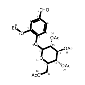 CCOc1cc(C=O)ccc1OC1O[C@H](COC(C)=O)[C@@H](OC(C)=O)[C@H](OC(C)=O)[C@H]1OC(C)=O